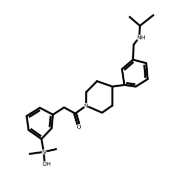 CC(C)NCc1cccc(C2CCN(C(=O)Cc3cccc([Si](C)(C)O)c3)CC2)c1